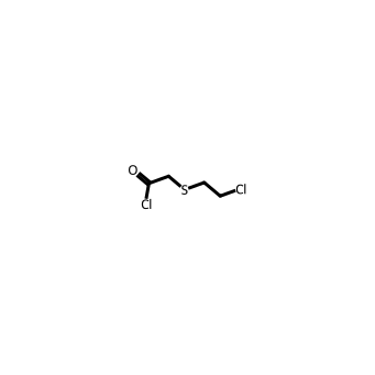 O=C(Cl)CSCCCl